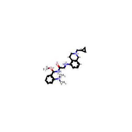 CN(C)c1ccccc1C(NC(=O)CNc1cccc2c1CCN(CC1CC1)C2)OC(F)(F)F